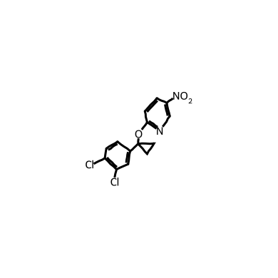 O=[N+]([O-])c1ccc(OC2(c3ccc(Cl)c(Cl)c3)CC2)nc1